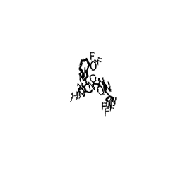 O=C(c1nnc(-c2cnn(C(F)(F)F)c2)o1)N1CCc2[nH]cnc2C1c1cc2c(OC(F)F)cccn2n1